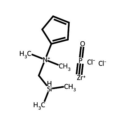 C[SiH](C)C[N+](C)(C)C1=CC=CC1.O=[P]#[Zr+].[Cl-].[Cl-]